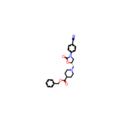 N#Cc1ccc(N2C[C@H](CN3CCC(C(=O)OCc4ccccc4)CC3)OC2=O)cc1